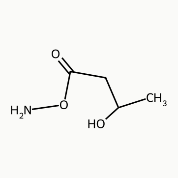 CC(O)CC(=O)ON